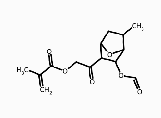 C=C(C)C(=O)OCC(=O)C1C2CC(C)C(O2)C1OC=O